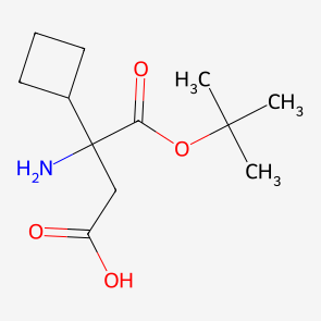 CC(C)(C)OC(=O)C(N)(CC(=O)O)C1CCC1